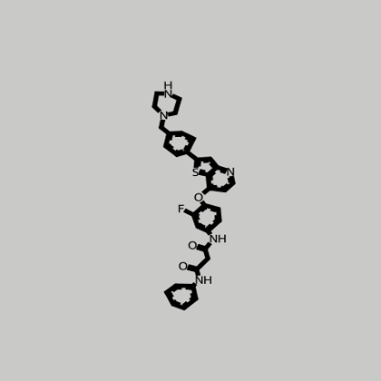 O=C(CC(=O)Nc1ccc(Oc2ccnc3cc(-c4ccc(CN5CCNCC5)cc4)sc23)c(F)c1)Nc1ccccc1